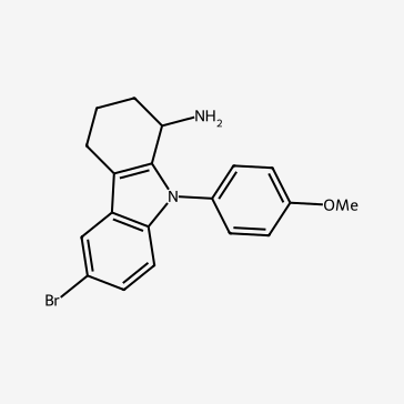 COc1ccc(-n2c3c(c4cc(Br)ccc42)CCCC3N)cc1